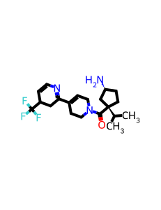 CC(C)[C@]1(C(=O)N2CC=C(C3=NC=CC(C(F)(F)F)C3)CC2)CC[C@@H](N)C1